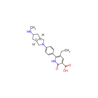 CCc1cc(C(=O)O)c(=O)[nH]c1-c1ccc(N2C[C@H]3CC(NC)C[C@H]3C2)cc1